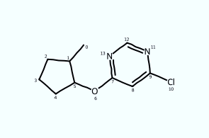 CC1CCCC1Oc1cc(Cl)ncn1